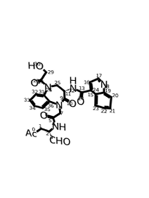 CC(=O)C[C@@H](C=O)NC(=O)CN1C(=O)[C@@H](NC(=O)c2ccnc3ccccc23)CN(C(=O)CO)c2ccccc21